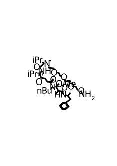 CCCCN(C(=O)CCC(=O)[C@@H](NC(=O)C(C(C)C)N(C)CCOCCOCCOCCON)C(C)C)C(OC)C(C)C(=O)NC(C)Cc1ccccc1